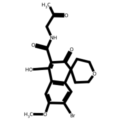 COc1cc2c(cc1Br)C1(CCOCC1)C(=O)C(C(=O)NCC(C)=O)=C2O